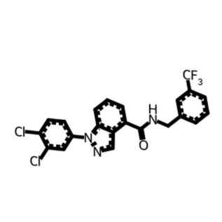 O=C(NCc1cccc(C(F)(F)F)c1)c1cccc2c1cnn2-c1ccc(Cl)c(Cl)c1